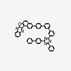 c1ccc(-c2ccc(-c3nc(-c4ccccc4)nc(-c4cccc(-c5cccc(-c6ccc(-c7ccc8c(ccc9oc%10nc%11ccccc%11nc%10c98)c7)cc6)c5)c4)n3)cc2)cc1